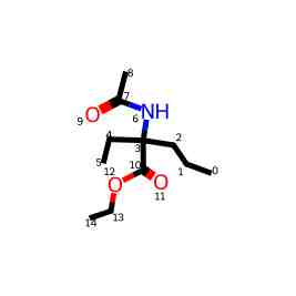 CCCC(CC)(NC(C)=O)C(=O)OCC